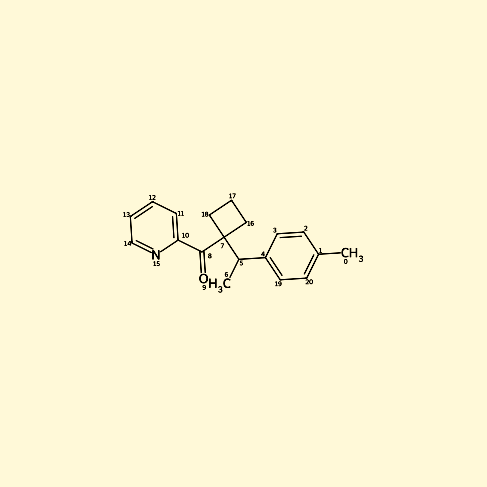 Cc1ccc(C(C)C2(C(=O)c3ccccn3)CCC2)cc1